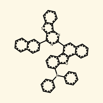 c1ccc(N(c2ccccc2)c2cccc3c2oc2c4ccccc4cc(-c4nc(-c5ccc6ccccc6c5)c5sc6ccccc6c5n4)c32)cc1